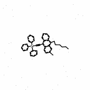 CCCCCCc1c2ccccc2c(C#C[Si](c2ccccc2)(c2ccccc2)c2ccccc2)c2ccc(C)cc12